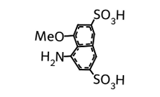 COc1cc(S(=O)(=O)O)cc2cc(S(=O)(=O)O)cc(N)c12